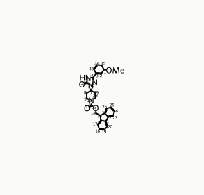 COC1C=C(c2nn(C3CCN(C(=O)OCC4c5ccccc5-c5ccccc54)CC3)c(=O)[nH]2)C=CC1